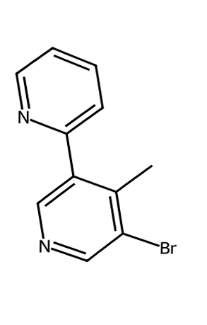 Cc1c(Br)cncc1-c1ccccn1